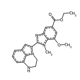 CCOC(=O)c1cc(OC)c2c(c1)nc(-c1cc3cccc4c3n1CCN4)n2C